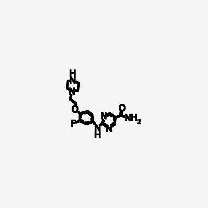 NC(=O)c1cnc(Nc2ccc(OCCN3CCNCC3)c(F)c2)nc1